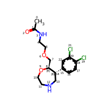 CC(=O)NCCOC[C@@H]1OCCNC[C@H]1c1ccc(Cl)c(Cl)c1